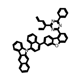 C=C/C=C(\C=C)c1nc(-c2ccccc2)nc(-c2cccc3oc4cc(-c5ccc(-n6c7ccccc7c7cc8ccccc8cc76)c6ccccc56)ccc4c23)n1